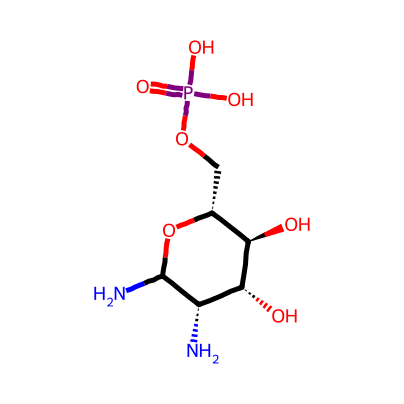 NC1O[C@H](COP(=O)(O)O)[C@@H](O)[C@H](O)[C@@H]1N